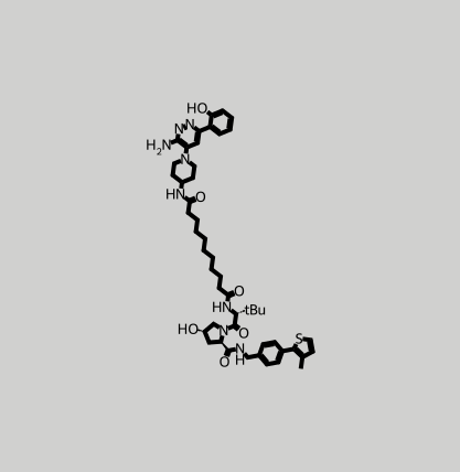 Cc1ccsc1-c1ccc(CNC(=O)[C@H]2C[C@H](O)CN2C(=O)[C@H](NC(=O)CCCCCCCCCC(=O)NC2CCN(c3cc(-c4ccccc4O)nnc3N)CC2)C(C)(C)C)cc1